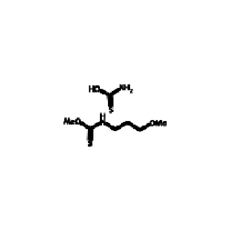 COCCCNC(=S)OC.NC(O)=S